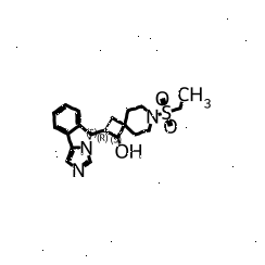 CCS(=O)(=O)N1CCC2(CC1)C[C@H]([C@H]1c3ccccc3-c3cncn31)[C@@H]2O